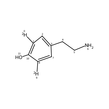 [2H]c1cc(CCN)cc([2H])c1O